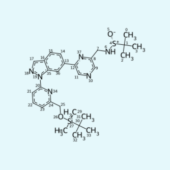 CC(C)(C)[S@@+]([O-])NCc1cncc(-c2ccc3cnn(-c4cccc(CO[Si](C)(C)C(C)(C)C)n4)c3c2)n1